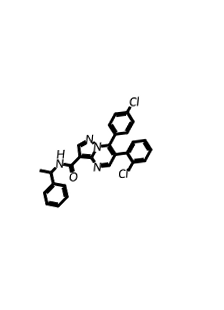 CC(NC(=O)c1cnn2c(-c3ccc(Cl)cc3)c(-c3ccccc3Cl)cnc12)c1ccccc1